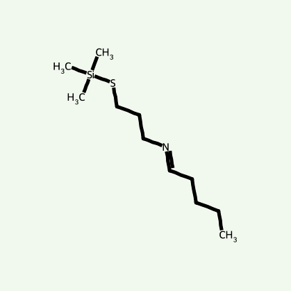 CCCC/C=N/CCCS[Si](C)(C)C